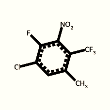 Cc1cc(Cl)c(F)c([N+](=O)[O-])c1C(F)(F)F